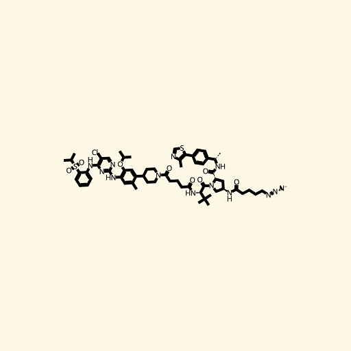 Cc1cc(Nc2ncc(Cl)c(Nc3ccccc3S(=O)(=O)C(C)C)n2)c(OC(C)C)cc1C1CCN(C(=O)CCCC(=O)N[C@H](C(=O)N2C[C@H](NC(=O)CCCCN=[N+]=[N-])C[C@H]2C(=O)N[C@@H](C)c2ccc(-c3scnc3C)cc2)C(C)(C)C)CC1